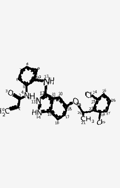 C=CC(=O)Nc1ccccc1Nc1n[nH]c2ccc(OC(C)c3c(Cl)cccc3Cl)cc12